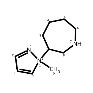 C[N+]1(C2CCCCNC2)C=CC=N1